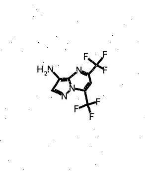 Nc1cnn2c(C(F)(F)F)cc(C(F)(F)F)nc12